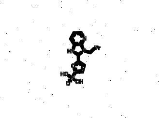 CC(C)CN1c2ncccc2NC1c1ccc(P(=O)(O)O)o1